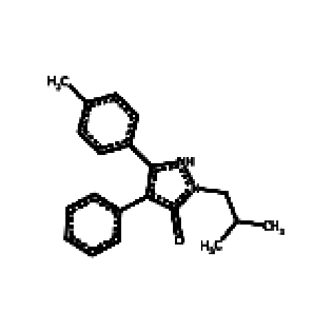 Cc1ccc(-c2[nH]n(CC(C)C)c(=O)c2-c2ccccc2)cc1